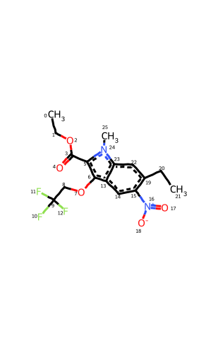 CCOC(=O)c1c(OCC(F)(F)F)c2cc([N+](=O)[O-])c(CC)cc2n1C